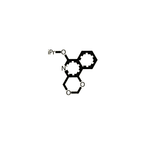 CC(C)Oc1nc2c(c3ccccc13)OCOC2